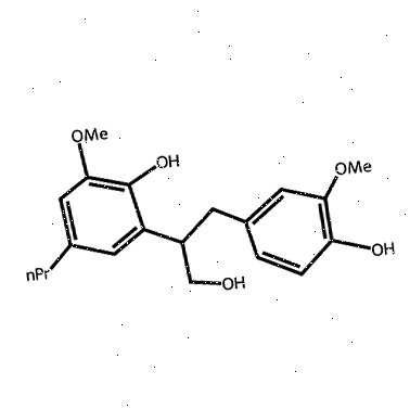 CCCc1cc(OC)c(O)c(C(CO)Cc2ccc(O)c(OC)c2)c1